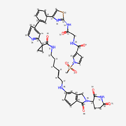 CS(=O)(=O)n1ccc(C(=O)NCC(=O)Nc2nc(-c3cccc(-c4ccnc(C5(C(=O)NCCCCCCNc6ccc7c(c6)CN(C6CCC(=O)NC6=O)C7=O)CC5)c4)c3)cs2)c1